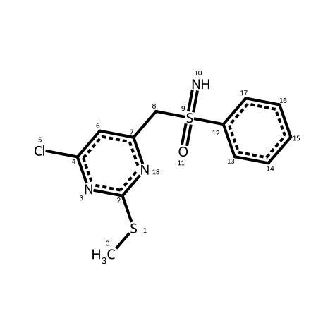 CSc1nc(Cl)cc(CS(=N)(=O)c2ccccc2)n1